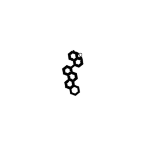 c1cc(-c2ccc3oc4ccc2c3c4)c2ccc3c4c(ccc3c2c1)CCCC4